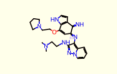 CN(C)CCNc1nn2ccccc2c1/N=C1\C=C(OCCN2CCCC2)c2[nH]ccc2C1=N